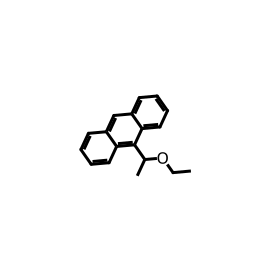 CCOC(C)c1c2ccccc2cc2ccccc12